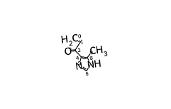 C=CC(=O)c1nc[nH]c1C